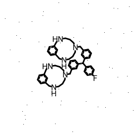 Fc1ccc(C(c2cccc(CN3CCCNCc4cccc(c4)CNCCC3)c2)c2cccc(CN3CCCNCc4cccc(c4)CNCCC3)c2)cc1